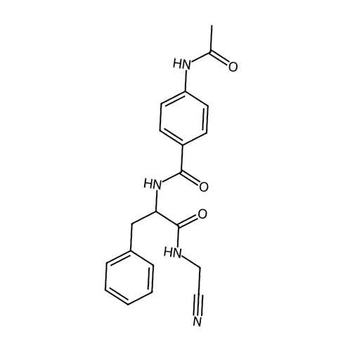 CC(=O)Nc1ccc(C(=O)NC(Cc2ccccc2)C(=O)NCC#N)cc1